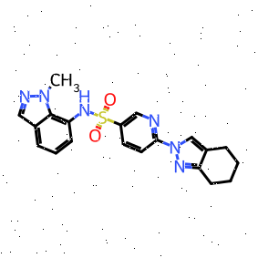 Cn1ncc2cccc(NS(=O)(=O)c3ccc(-n4cc5c(n4)CCCC5)nc3)c21